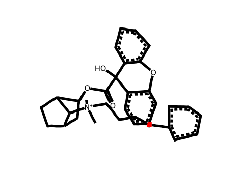 C[N+](C)(CCCOc1ccccc1)C1C2CCC1C(OC(=O)C1(O)c3ccccc3Oc3ccccc31)C2